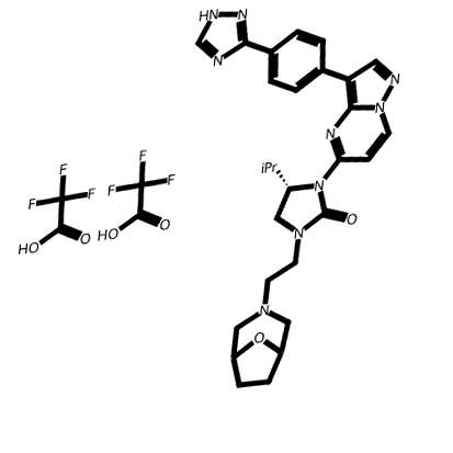 CC(C)[C@H]1CN(CCN2CC3CCC(C2)O3)C(=O)N1c1ccn2ncc(-c3ccc(-c4nc[nH]n4)cc3)c2n1.O=C(O)C(F)(F)F.O=C(O)C(F)(F)F